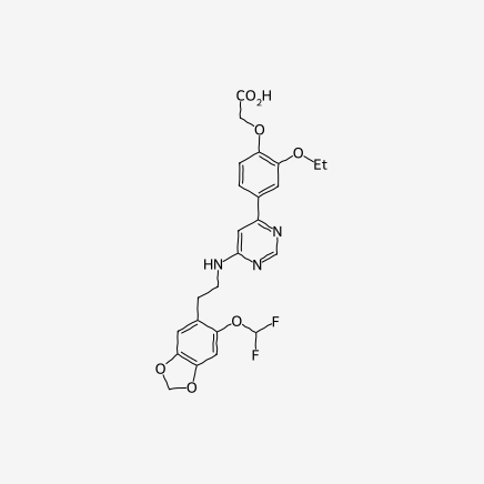 CCOc1cc(-c2cc(NCCc3cc4c(cc3OC(F)F)OCO4)ncn2)ccc1OCC(=O)O